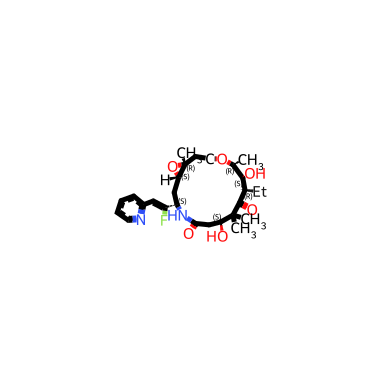 CC[C@H]1C(=O)C(C)(C)[C@@H](O)CC(=O)N[C@H](C(F)=Cc2ccccn2)C[C@@H]2O[C@]2(C)CCO[C@H](C)[C@H]1O